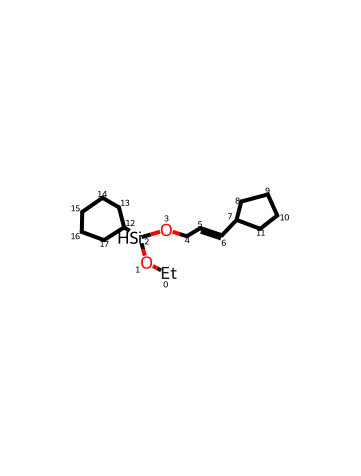 CCO[SiH](OCC=CC1CCCC1)C1CCCCC1